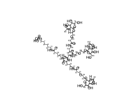 COP(=O)(O)OCCCCCCNC(=O)CCCCCNC(=O)[C@H](CCCCNC(=O)CCOCCOC1OC(CO)C(O)C(O)C1NC(C)=O)NC(=O)[C@H](CCCCNC(=O)CCOCCOC1OC(CO)C(O)C(O)C1NC(C)=O)NC(=O)CCOCCOC1OC(CO)C(O)C(O)C1NC(C)=O